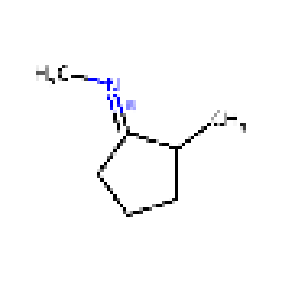 C/N=C1\CCCC1C